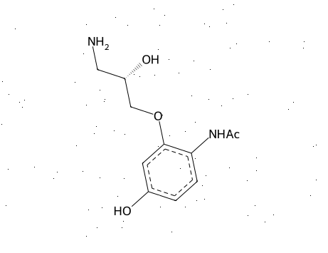 CC(=O)Nc1ccc(O)cc1OC[C@@H](O)CN